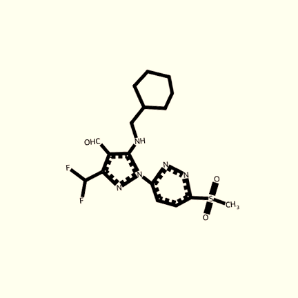 CS(=O)(=O)c1ccc(-n2nc(C(F)F)c(C=O)c2NCC2CCCCC2)nn1